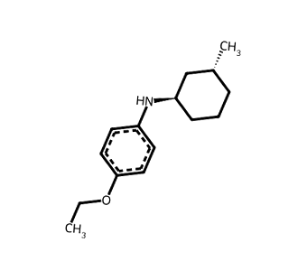 CCOc1ccc(N[C@@H]2CCC[C@@H](C)C2)cc1